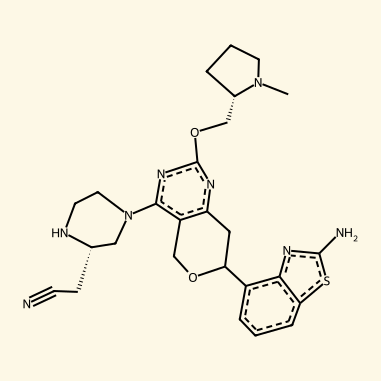 CN1CCC[C@H]1COc1nc2c(c(N3CCN[C@@H](CC#N)C3)n1)COC(c1cccc3sc(N)nc13)C2